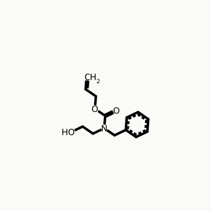 C=CCOC(=O)N(CCO)Cc1ccccc1